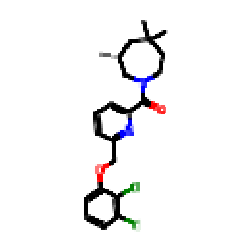 C[C@H]1CN(C(=O)c2cccc(COc3cccc(Cl)c3Cl)n2)CCC(C)(C)C1